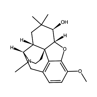 COc1ccc2c3c1O[C@H]1[C@H](O)C(C)(C)C[C@H]4[C@@H](C2)N(C)CC[C@@]341